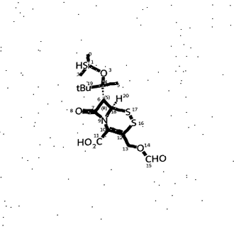 C[SiH](C)OC(C)([C@H]1C(=O)N2C(C(=O)O)=C(COC=O)SS[C@H]12)C(C)(C)C